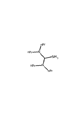 CCCN(CCC)C([SiH3])N(CCC)CCC